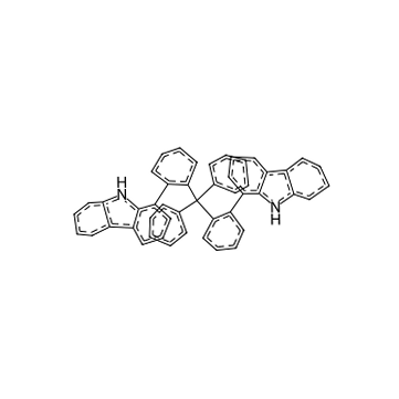 c1ccc(C(c2ccccc2)(c2ccccc2-c2cccc3c2[nH]c2ccccc23)c2ccccc2-c2cccc3c2[nH]c2ccccc23)cc1